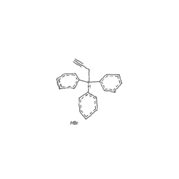 Br.C#CC[PH](c1ccccc1)(c1ccccc1)c1ccccc1